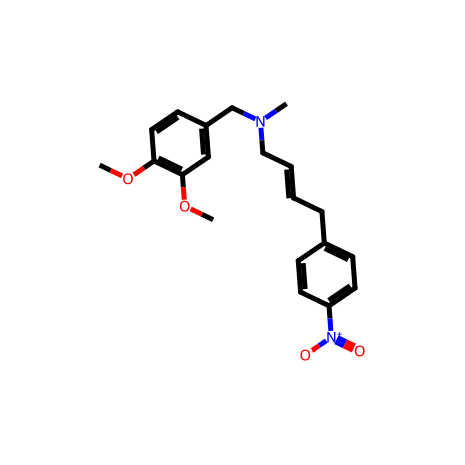 COc1ccc(CN(C)CC=CCc2ccc([N+](=O)[O-])cc2)cc1OC